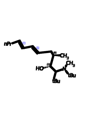 CCC/C=C/C=C/C[C@@H](C)[C@@H](O)C(N(C)C(C)(C)C)C(C)(C)C